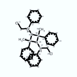 C[Si]1(c2ccccc2)N([SiH](CCl)c2ccccc2)[Si](C)(c2ccccc2)N1[SiH](CCl)c1ccccc1